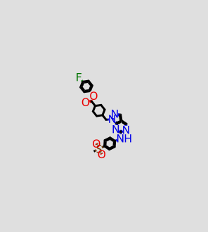 CS(=O)(=O)c1ccc(Nc2ncc3cnn(CC4CCC(C(=O)Oc5ccc(F)cc5)CC4)c3n2)cc1